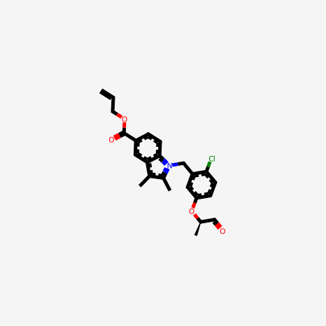 C=CCOC(=O)c1ccc2c(c1)c(C)c(C)n2Cc1cc(O[C@H](C)C=O)ccc1Cl